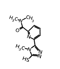 CN(C)C(=O)c1cccc(-c2nnc(S)n2C)n1